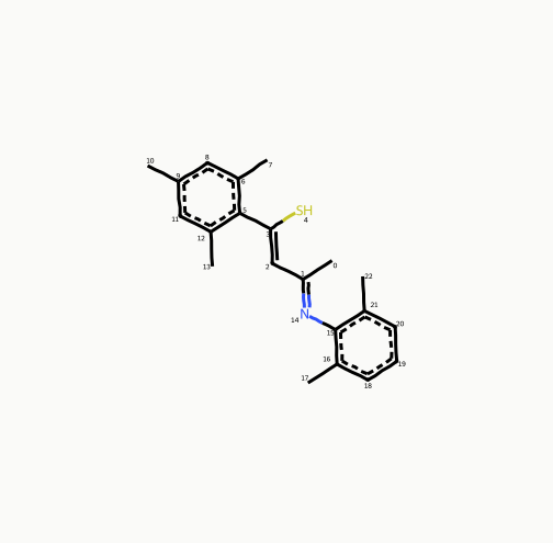 CC(/C=C(\S)c1c(C)cc(C)cc1C)=N\c1c(C)cccc1C